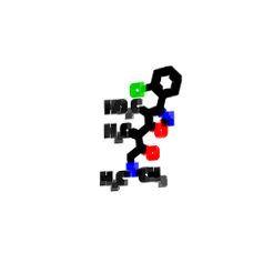 C=C(C(=O)CN(C)C)c1onc(-c2ccccc2Cl)c1C(=O)O